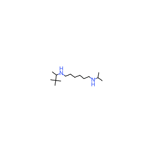 CC(C)NCCCCCCNC(C)C(C)(C)C